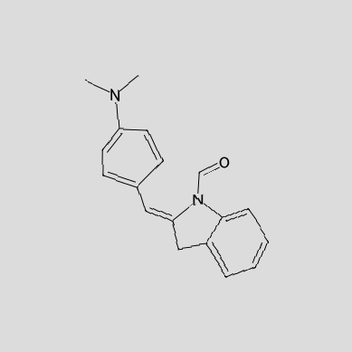 CN(C)c1ccc(C=C2Cc3ccccc3N2C=O)cc1